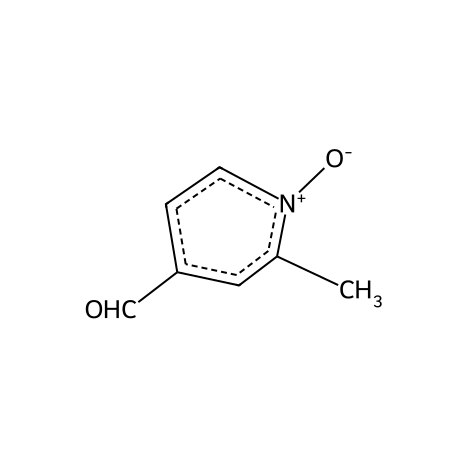 Cc1cc(C=O)cc[n+]1[O-]